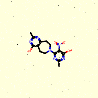 Cc1nc(O)c2c(n1)CCN(c1nc(C)nc(O)c1[N+](=O)[O-])CC2